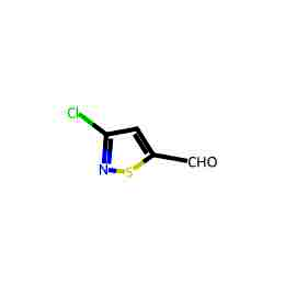 O=Cc1cc(Cl)ns1